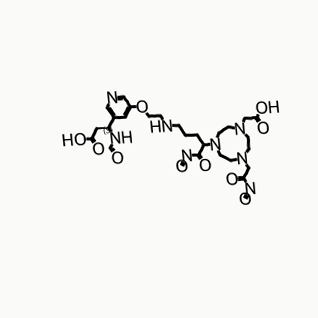 O=CN[C@@H](CC(=O)O)c1cncc(OCCNCCCC(C(=O)N=O)N2CCN(CC(=O)O)CCN(CC(=O)N=O)CC2)c1